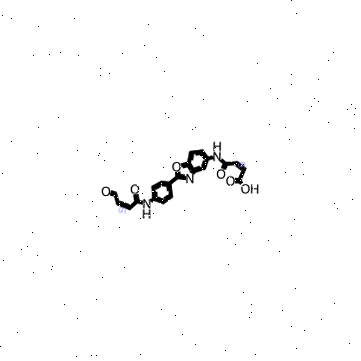 O=C/C=C\C(=O)Nc1ccc(-c2nc3cc(NC(=O)/C=C\C(=O)O)ccc3o2)cc1